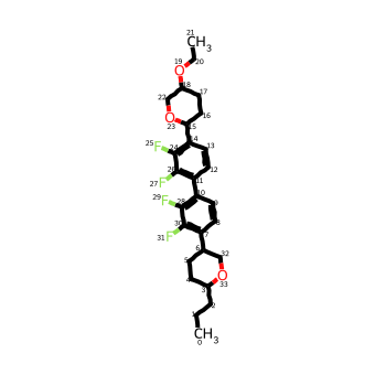 CCCC1CCC(c2ccc(-c3ccc(C4CCC(OCC)CO4)c(F)c3F)c(F)c2F)CO1